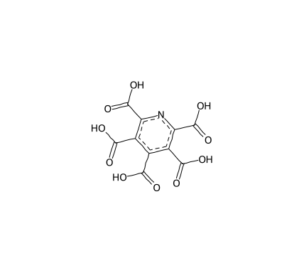 O=C(O)c1nc(C(=O)O)c(C(=O)O)c(C(=O)O)c1C(=O)O